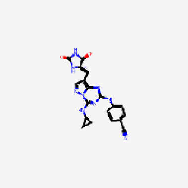 N#Cc1ccc(Nc2nc(NC3CC3)n3ncc(/C=C4\NC(=O)NC4=O)c3n2)cc1